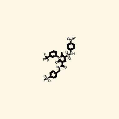 Cc1c(S(=O)(=O)Nc2ccc([N+](=O)[O-])cc2)cc(C(=O)NCc2ccc(S(C)(=O)=O)cc2)c(=O)n1-c1cccc(C(F)(F)F)c1